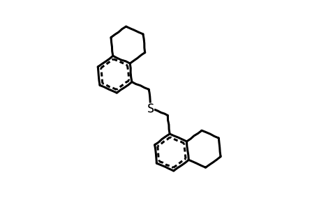 c1cc2c(c(CSCc3cccc4c3CCCC4)c1)CCCC2